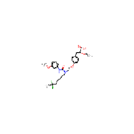 CCOC(Cc1ccc(OCCN(CCCCCC(C)(F)F)C(=O)Nc2cccc(OC)c2)cc1)C(=O)O